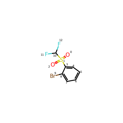 O=S(=O)(c1ccccc1Br)C(F)F